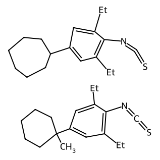 CCc1cc(C2(C)CCCCC2)cc(CC)c1N=C=S.CCc1cc(C2CCCCCC2)cc(CC)c1N=C=S